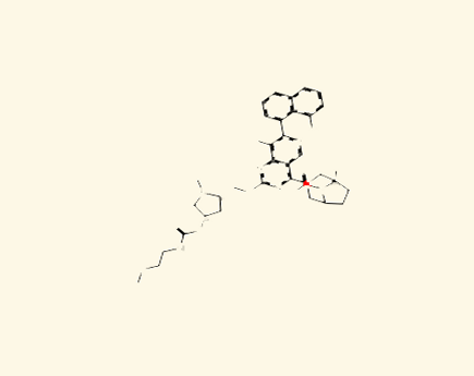 COCCNC(=O)O[C@@H]1C[C@@H](COc2nc(N3CC4CC[C@@H](C3)N4C(=O)O)c3cnc(-c4cccc5cccc(Cl)c45)c(F)c3n2)N(C)C1